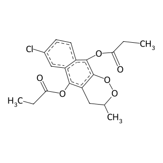 CCC(=O)Oc1c2c(c(OC(=O)CC)c3ccc(Cl)cc13)OOC(C)C2